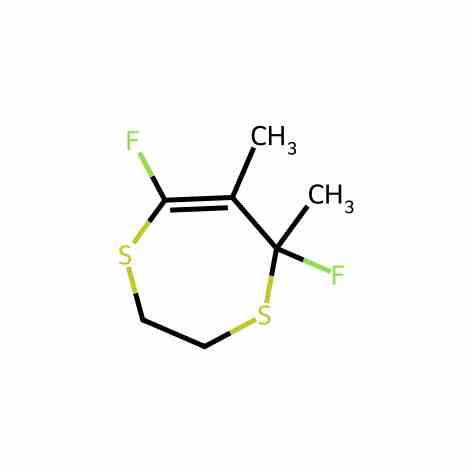 CC1=C(F)SCCSC1(C)F